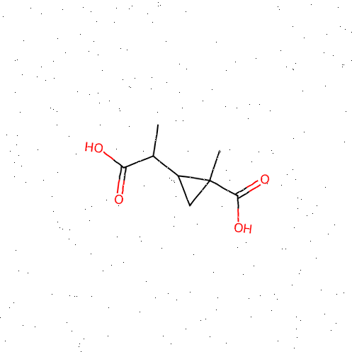 CC(C(=O)O)C1CC1(C)C(=O)O